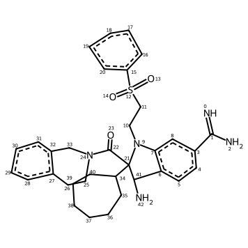 N=C(N)c1ccc2c(c1)N(CCS(=O)(=O)c1ccccc1)C(C(=O)N1CCc3ccccc3C1)(C1CCCCCC1)C2N